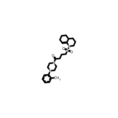 Cc1ccccc1N1CCN(C(=O)CCCS(=O)(=O)N2CCCC3CCCC=C32)CC1